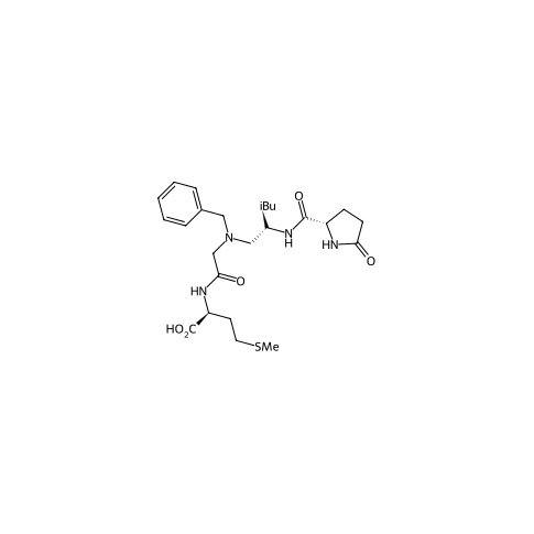 CC[C@H](C)[C@@H](CN(CC(=O)N[C@@H](CCSC)C(=O)O)Cc1ccccc1)NC(=O)[C@@H]1CCC(=O)N1